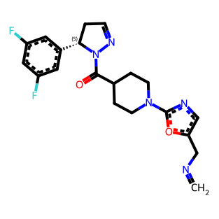 C=NCc1cnc(N2CCC(C(=O)N3N=CC[C@H]3c3cc(F)cc(F)c3)CC2)o1